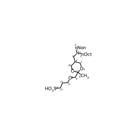 CCCCCCCCCN(CCCCCCCC)CC1COC(C)(COCCCS(=O)(=O)O)OC1